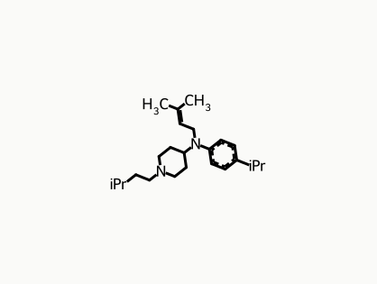 CC(C)=CCN(c1ccc(C(C)C)cc1)C1CCN(CCC(C)C)CC1